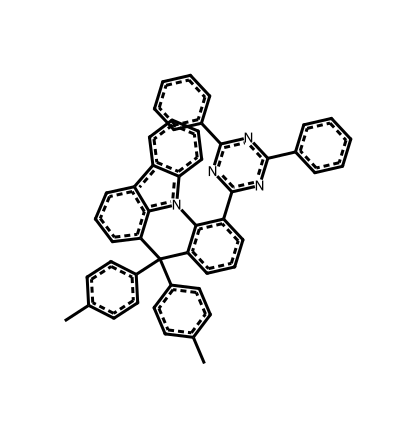 Cc1ccc(C2(c3ccc(C)cc3)c3cccc(-c4nc(-c5ccccc5)nc(-c5ccccc5)n4)c3-n3c4ccccc4c4cccc2c43)cc1